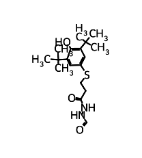 CC(C)(C)c1cc(SCCC(=O)NNC=O)cc(C(C)(C)C)c1O